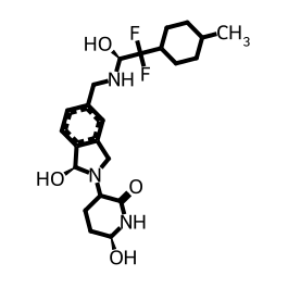 CC1CCC(C(F)(F)[C@H](O)NCc2ccc3c(c2)CN(C2CC[C@H](O)NC2=O)[C@H]3O)CC1